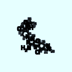 C[C@@H]1OCC2(CCN(c3nc(N)c(Sc4ccc5nn(C)cc5c4Cl)c(=O)n3C)CC2)[C@@H]1N[S@+]([O-])C(C)(C)C